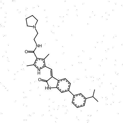 Cc1[nH]c(C=C2C(=O)Nc3cc(-c4cccc(C(C)C)c4)ccc32)c(C)c1C(=O)NCCN1CCCC1